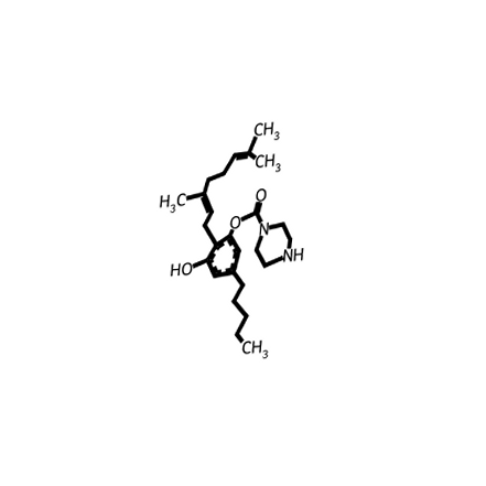 CCCCCc1cc(O)c(C/C=C(\C)CCC=C(C)C)c(OC(=O)N2CCNCC2)c1